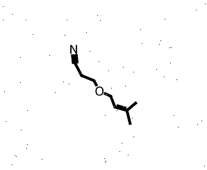 CC(C)=CCOCCC#N